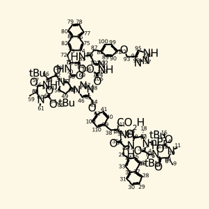 CCCN(C(=O)[C@@H](NC(=O)[C@H](C)N(C)C(=O)OC(C)(C)C)C(C)(C)C)[C@@H](C)C(=O)N[C@@H](Cc1ccc2ccccc2c1)C(=O)N[C@@H](Cc1ccc(OCc2cn([C@@H]3CCN(C(=O)[C@@H](NC(=O)[C@H](C)N(C)C(=O)OC(C)(C)C)C(C)(C)C)[C@@H]3C(=O)N[C@@H](Cc3ccc4ccccc4c3)C(=O)N[C@@H](Cc3ccc(OCc4c[nH]nn4)cc3)c3n[nH]c(=O)o3)nn2)cc1)C(=O)O